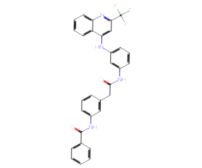 O=C(Cc1cccc(NC(=O)c2ccccc2)c1)Nc1cccc(Nc2cc(C(F)(F)F)nc3ccccc23)c1